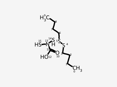 CCCCSSCCCC.O=C(O)N(S)S